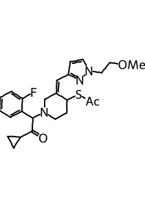 COCCn1ccc(/C=C2/CN(C(C(=O)C3CC3)c3ccccc3F)CCC2SC(C)=O)n1